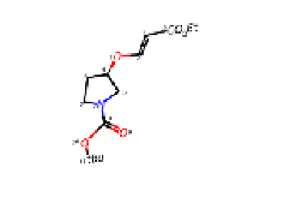 CCOC(=O)/C=C/O[C@@H]1CCN(C(=O)OC(C)(C)C)C1